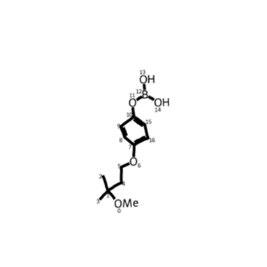 COC(C)(C)CCOc1ccc(OB(O)O)cc1